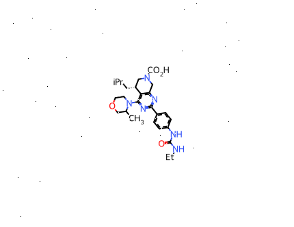 CCNC(=O)Nc1ccc(-c2nc3c(c(N4CCOCC4C)n2)[C@H](CC(C)C)CN(C(=O)O)C3)cc1